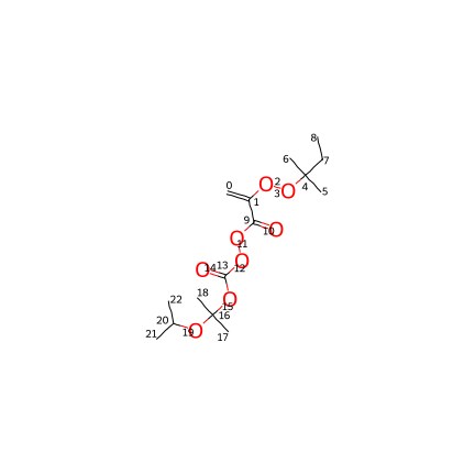 C=C(OOC(C)(C)CC)C(=O)OOC(=O)OC(C)(C)OC(C)C